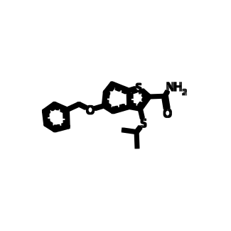 CC(C)Sc1c(C(N)=O)sc2ccc(OCc3ccccc3)cc12